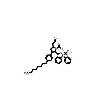 C=CCC1CC(c2ccc(CCCCCCCC)cc2)C(CO[Si](c2ccccc2)(c2ccccc2)C(C)(C)C)N1C(=O)O